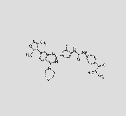 CC1=NOC(C)C1c1ccc2c(N3CCOCC3)nc(-c3ccc(NC(=O)Nc4ccc(C(=O)N(C)C)cc4)c(F)c3)nc2c1